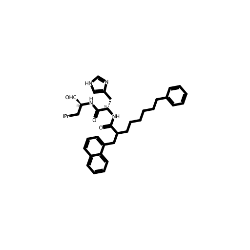 CC(C)C[C@@H](C=O)NC(=O)[C@H](Cc1c[nH]cn1)NC(=O)C(CCCCCCc1ccccc1)Cc1cccc2ccccc12